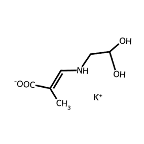 CC(=CNCC(O)O)C(=O)[O-].[K+]